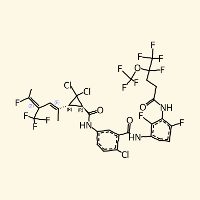 C/C(F)=C(\C=C(/C)[C@H]1[C@H](C(=O)Nc2ccc(Cl)c(C(=O)Nc3ccc(F)c(NC(=O)CCC(F)(OC(F)(F)F)C(F)(F)F)c3F)c2)C1(Cl)Cl)C(F)(F)F